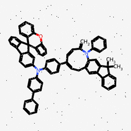 C=C1/C=C\C(c2ccc(N(c3ccc(-c4ccccc4)cc3)c3ccc4c(c3)C3(c5ccccc5Oc5ccccc53)c3ccccc3-4)cc2)=C/Cc2cc3c(cc2N1c1ccccc1)C(C)(C)c1ccccc1-3